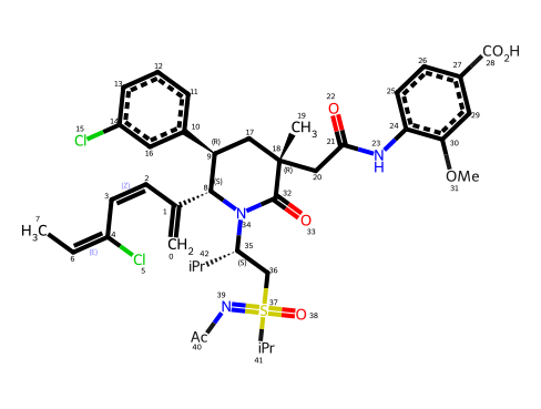 C=C(/C=C\C(Cl)=C/C)[C@@H]1[C@@H](c2cccc(Cl)c2)C[C@](C)(CC(=O)Nc2ccc(C(=O)O)cc2OC)C(=O)N1[C@H](CS(=O)(=NC(C)=O)C(C)C)C(C)C